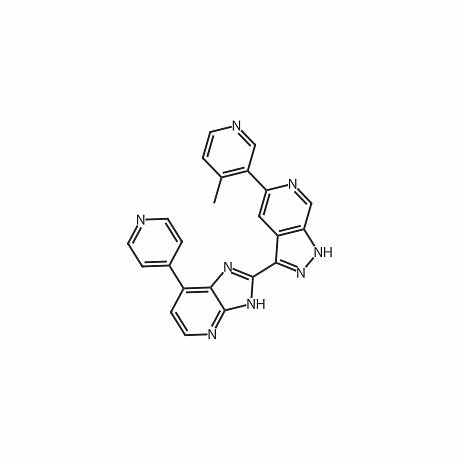 Cc1ccncc1-c1cc2c(-c3nc4c(-c5ccncc5)ccnc4[nH]3)n[nH]c2cn1